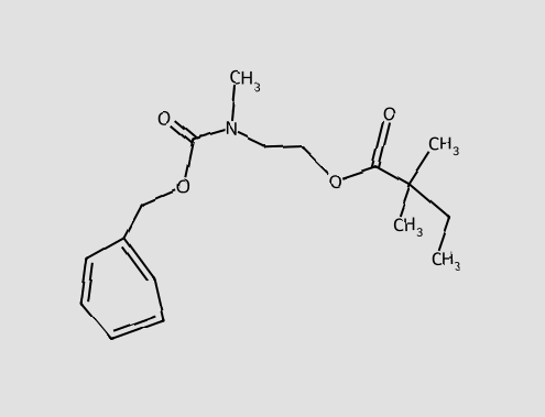 CCC(C)(C)C(=O)OCCN(C)C(=O)OCc1ccccc1